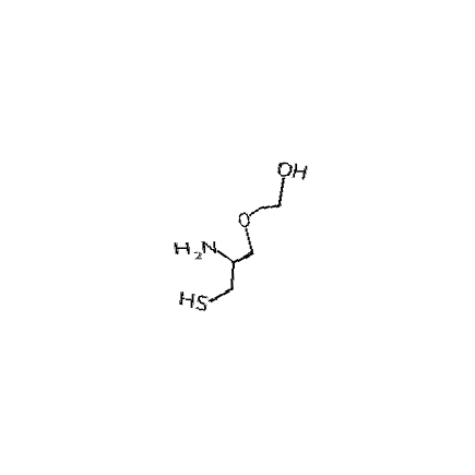 NC(CS)COCO